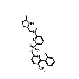 Cc1ccccc1-c1nc(NS(=O)(=O)c2cccc(N(C)CC3CCC(C)N3)n2)ccc1C(F)(F)F